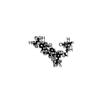 CC(C)OC(=O)c1cc(-c2nn(C)c(C(F)(F)F)c2Br)c(F)cc1Cl.CC1COc2ccccc2N1C(=O)C(Cl)Cl.CCNc1nc(Cl)nc(NC(C)C)n1.CCc1cccc(C)c1N(C(=O)CCl)C(C)COC.CP(=O)(O)CCC(N)C(=O)O